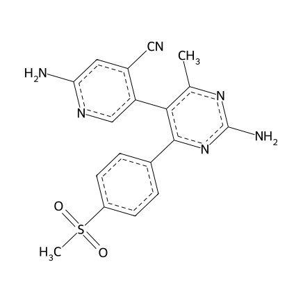 Cc1nc(N)nc(-c2ccc(S(C)(=O)=O)cc2)c1-c1cnc(N)cc1C#N